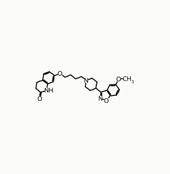 COc1ccc2onc(C3CCN(CCCCOc4ccc5c(c4)NC(=O)CC5)CC3)c2c1